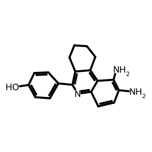 Nc1ccc2nc(-c3ccc(O)cc3)c3c(c2c1N)CCCC3